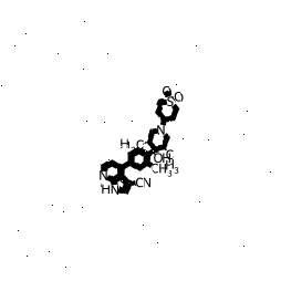 Cc1cc(-c2ccnc3[nH]cc(C#N)c23)ccc1C1(O)[C@H](C)CN(C2CCS(=O)(=O)CC2)C[C@@H]1C